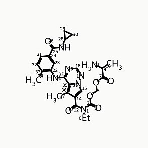 CCN(C(=O)OCOC(=O)C(C)N)C(=O)c1cn2ncnc(Nc3cc(C(=O)NC4CC4)ccc3C)c2c1C